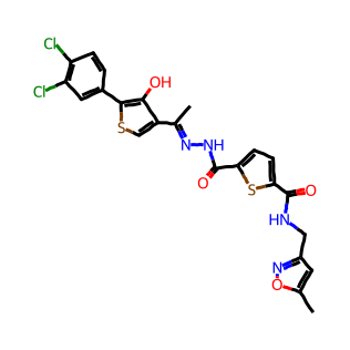 C/C(=N\NC(=O)c1ccc(C(=O)NCc2cc(C)on2)s1)c1csc(-c2ccc(Cl)c(Cl)c2)c1O